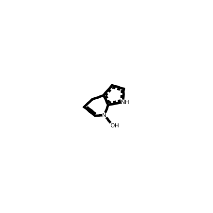 ON1C=CCc2cc[nH]c21